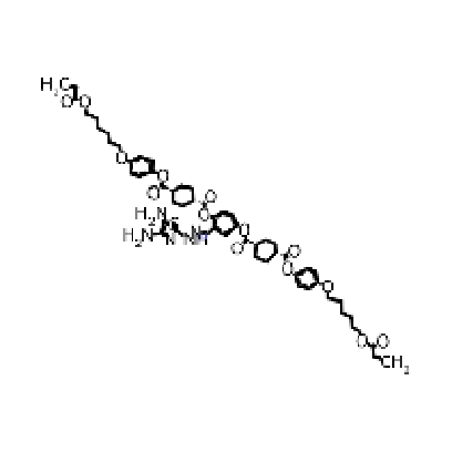 C=CC(=O)OCCCCCCOc1ccc(OC(=O)[C@H]2CC[C@H](C(=O)Oc3ccc(OC(=O)[C@H]4CC[C@H](C(=O)Oc5ccc(OCCCCCCOC(=O)C=C)cc5)CC4)c(/C=N/Nc4nc(N)c(N)s4)c3)CC2)cc1